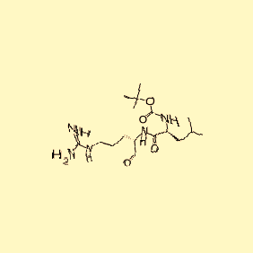 CC(C)C[C@H](NC(=O)OC(C)(C)C)C(=O)N[C@H](C=O)CCCNC(=N)N